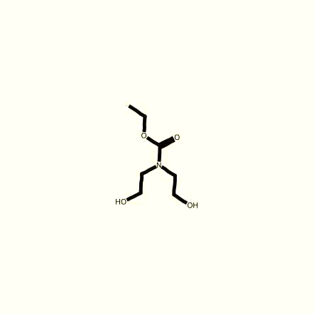 [CH2]COC(=O)N(CCO)CCO